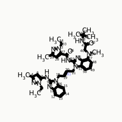 CCn1nc(C)cc1Nc1nc2ccccc2n1C/C=C/Cn1c(NC(=O)c2cc(C)nn2CC)nc2c(N(C)CC(=O)NC(C)(C)C)cccc21